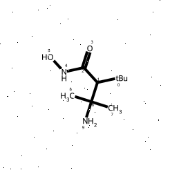 CC(C)(C)C(C(=O)NO)C(C)(C)N